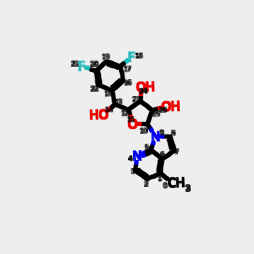 Cc1ccnc2c1ccn2C1OC(C(O)c2cc(F)cc(F)c2)C(O)C1O